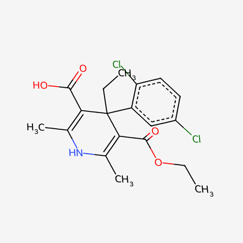 CCOC(=O)C1=C(C)NC(C)=C(C(=O)O)C1(CC)c1cc(Cl)ccc1Cl